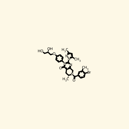 Cc1cc(C)n(-c2nc3c(c(=O)n2-c2ccc(OC[C@H](O)CO)cc2)C[C@@H](C)N(C(=O)c2ccc(Br)c(C)c2)C3)n1